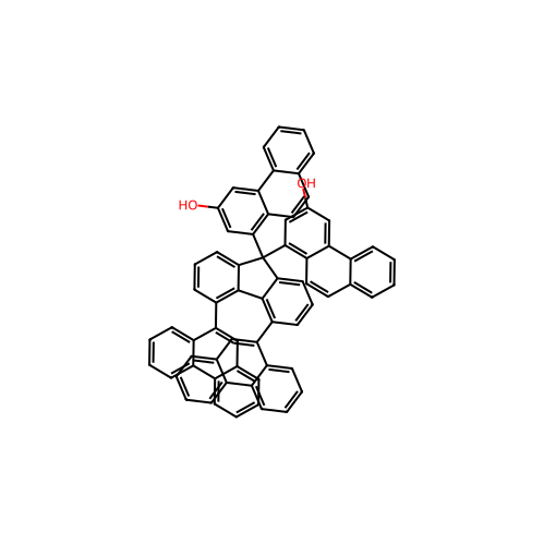 Oc1cc(C2(c3cc(O)cc4c3ccc3ccccc34)c3cccc(-c4cc5ccccc5c5ccccc45)c3-c3c(-c4cc5ccccc5c5ccccc45)cccc32)c2ccc3ccccc3c2c1